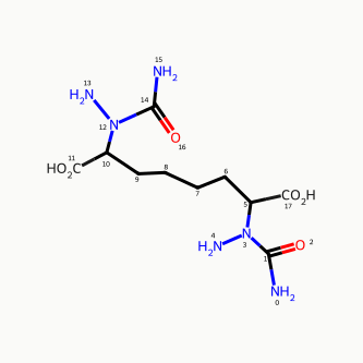 NC(=O)N(N)C(CCCCC(C(=O)O)N(N)C(N)=O)C(=O)O